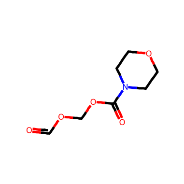 O=COCOC(=O)N1CCOCC1